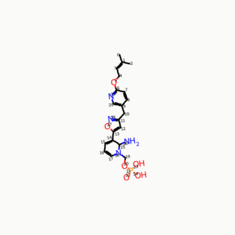 CC(C)=CCOc1ccc(Cc2cc(C3=CC=CN(COP(=O)(O)O)C3N)on2)cn1